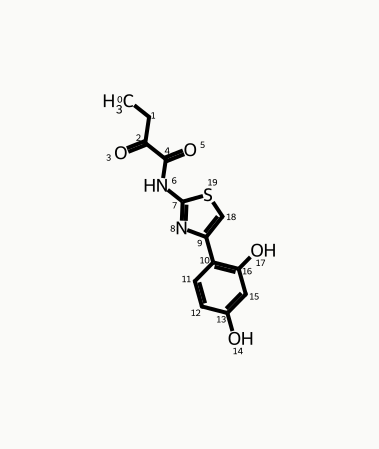 CCC(=O)C(=O)Nc1nc(-c2ccc(O)cc2O)cs1